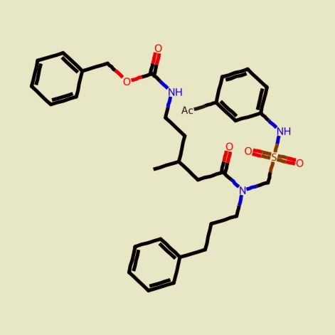 CC(=O)c1cccc(NS(=O)(=O)CN(CCCc2ccccc2)C(=O)CC(C)CCNC(=O)OCc2ccccc2)c1